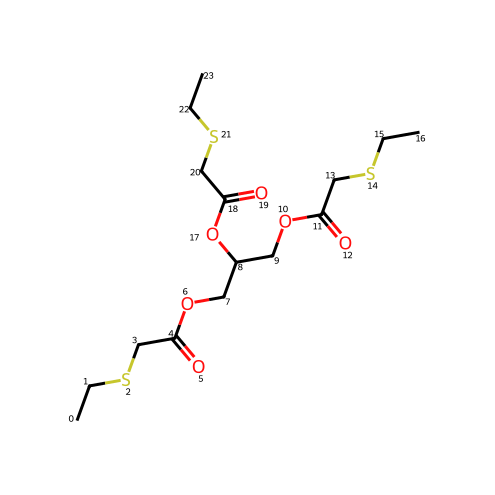 CCSCC(=O)OCC(COC(=O)CSCC)OC(=O)CSCC